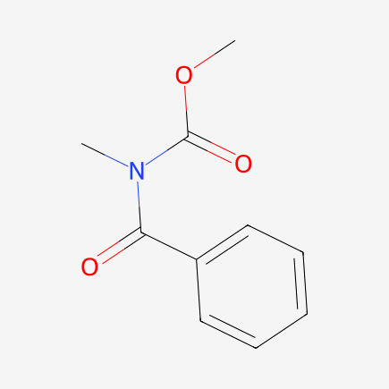 COC(=O)N(C)C(=O)c1ccccc1